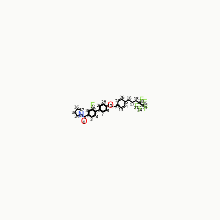 O=C(c1ccc(-c2ccc(OCC3CCC(CCCC(F)(F)C(F)(F)F)CC3)cc2)c(F)c1)N1CCCC1